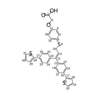 O=C(O)COc1ccc(SCC=C(c2ccc(-c3cccs3)cc2)c2ccc(-c3cccs3)cc2)cc1